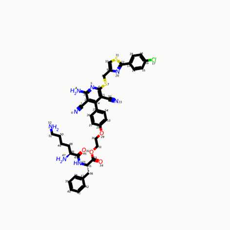 N#Cc1c(N)nc(SCc2csc(-c3ccc(Cl)cc3)n2)c(C#N)c1-c1ccc(OCCOC(=O)[C@H](Cc2ccccc2)NC(=O)[C@@H](N)CCCCN)cc1